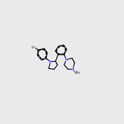 CC(C)(C)N1CCN(c2ccccc2C2CCCN2c2ccc(Br)cc2)CC1